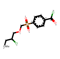 COCC(Cl)COCS(=O)(=O)c1ccc(C(=O)Cl)cc1